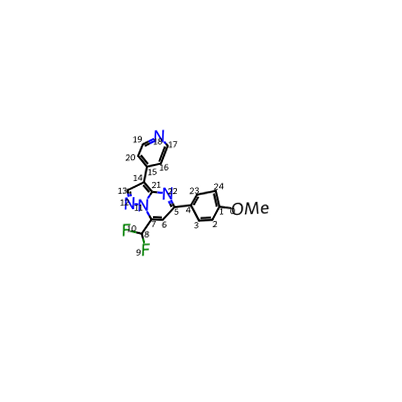 COc1ccc(-c2cc(C(F)F)n3ncc(-c4ccncc4)c3n2)cc1